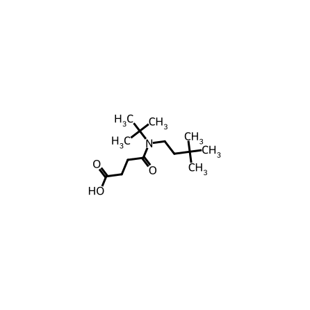 CC(C)(C)CCN(C(=O)CCC(=O)O)C(C)(C)C